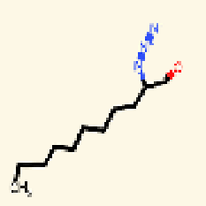 CCCCCCCCCC([C]=O)N=[N+]=[N-]